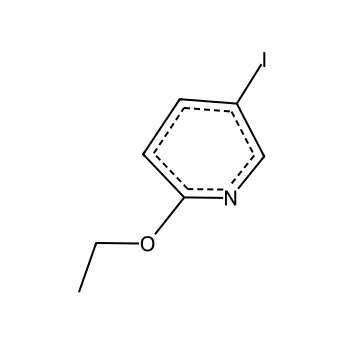 CCOc1ccc(I)cn1